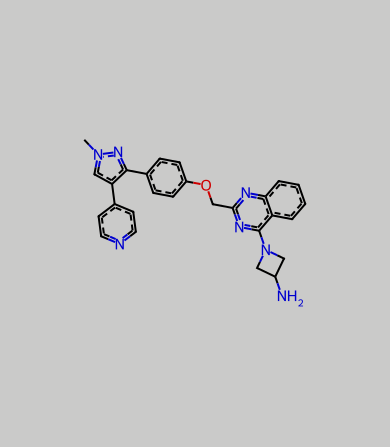 Cn1cc(-c2ccncc2)c(-c2ccc(OCc3nc(N4CC(N)C4)c4ccccc4n3)cc2)n1